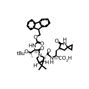 C[C@H](OC(C)(C)C)[C@H](NC(=O)OCC1c2ccccc2-c2ccccc21)C(=O)N1C[C@H]2[C@@H]([C@H]1C(=O)N[C@@H](C[C@@H]1CC3(CC3)NC1=O)C(=O)O)C2(C)C